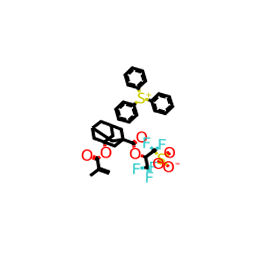 C=C(C)C(=O)OC12CC3CC(C1)CC(C(=O)OC(C(F)(F)F)C(F)(F)S(=O)(=O)[O-])(C3)C2.c1ccc([S+](c2ccccc2)c2ccccc2)cc1